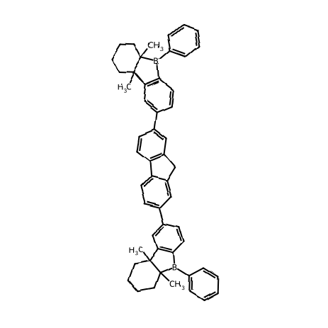 CC12CCCCC1(C)c1cc(-c3ccc4c(c3)Cc3cc(-c5ccc6c(c5)C5(C)CCCCC5(C)B6c5ccccc5)ccc3-4)ccc1B2c1ccccc1